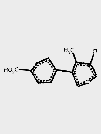 Cc1c(Cl)cccc1-c1ccc(C(=O)O)cc1